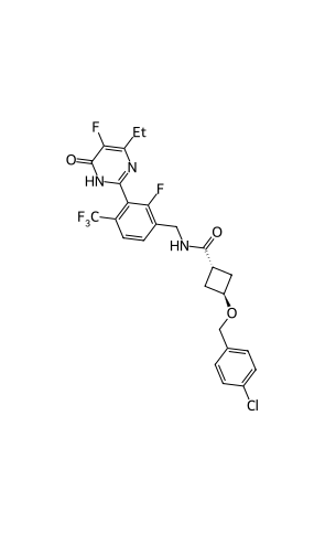 CCc1nc(-c2c(C(F)(F)F)ccc(CNC(=O)[C@H]3C[C@H](OCc4ccc(Cl)cc4)C3)c2F)[nH]c(=O)c1F